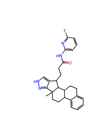 CC12CCC3c4ccccc4CCC3C1C(CCC(=O)Nc1cccc(F)n1)c1c[nH]nc12